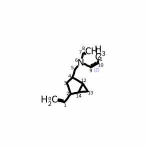 C=CC1CC(CN(C=C)/C=C\C)C2CC12